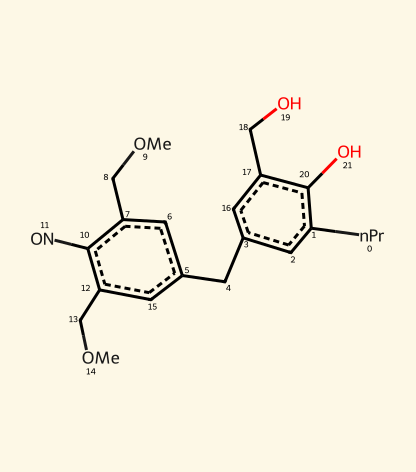 CCCc1cc(Cc2cc(COC)c(N=O)c(COC)c2)cc(CO)c1O